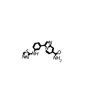 NC(=O)c1ccn2c(-c3cccc(Nc4nncs4)c3)cnc2c1